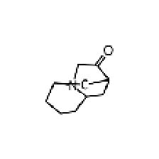 O=C1CN2C3CCCC2CC1C3